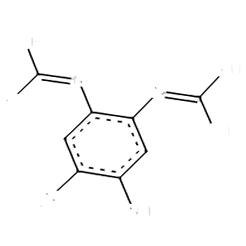 CC(C)=Nc1cc(N)c(N)cc1N=C(C)C